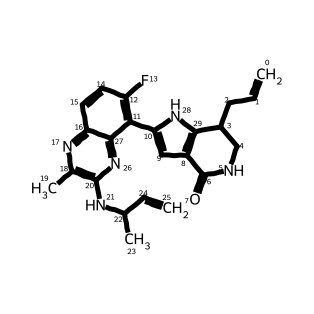 C=CCC1CNC(=O)c2cc(-c3c(F)ccc4nc(C)c(NC(C)C=C)nc34)[nH]c21